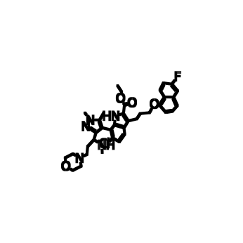 CCOC(=O)c1[nH]c2c(-c3c(C(CCN4CCOCC4)NC)nn(C)c3C)c(Cl)ccc2c1CCCOc1cccc2cc(F)ccc12